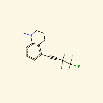 CN1CCCc2c(C#CC(C)(C)C(F)(F)F)cccc21